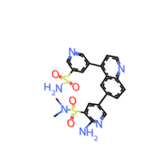 CN(C)S(=O)(=O)c1cc(-c2ccc3nccc(-c4cncc(S(N)(=O)=O)c4)c3c2)cnc1N